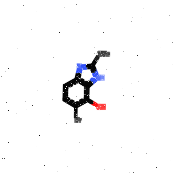 CSc1nc2ccc(C(C)C)c(O)c2[nH]1